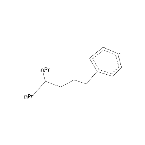 CCCC(CCC)CCCc1cc[c]cc1